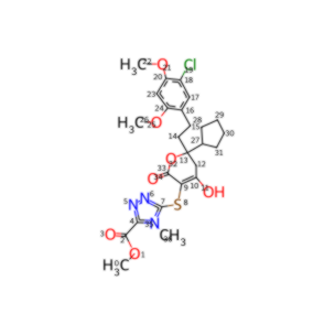 COC(=O)c1nnc(SC2=C(O)CC(CCc3cc(Cl)c(OC)cc3OC)(C3CCCC3)OC2=O)n1C